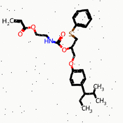 C=CC(=O)OCCNC(=O)OC(COc1ccc(C(CC)C(C)C)cc1)CSc1ccccc1